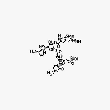 CSSC(CN=[N+]=N)C[C@H](N)C(=O)O[C@H]1[C@@H](O)[C@H](n2cnc3c(N)ncnc32)O[C@@H]1COP(=O)(O)O[C@H]1C[C@H](n2ccc(N)nc2=O)O[C@@H]1COP(=O)(O)O